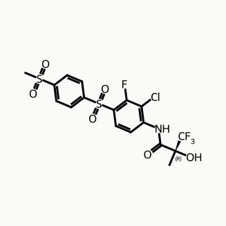 C[C@@](O)(C(=O)Nc1ccc(S(=O)(=O)c2ccc(S(C)(=O)=O)cc2)c(F)c1Cl)C(F)(F)F